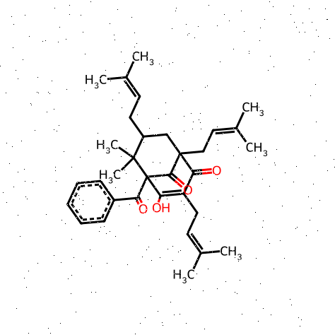 CC(C)=CCC1=C(O)C2(C(=O)c3ccccc3)C(=O)C(CC=C(C)C)(CC(CC=C(C)C)C2(C)C)C1=O